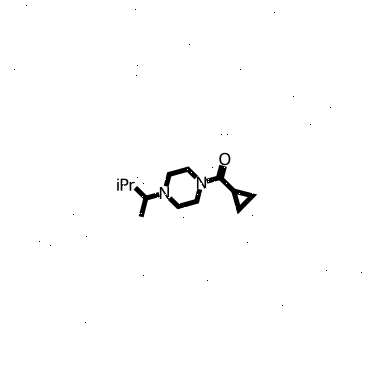 CC(C)C(C)N1CCN(C(=O)C2CC2)CC1